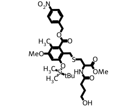 COC(=O)C(CSCc1c(O[Si](C)(C)C(C)(C)C)cc(OC)c(C)c1C(=O)OCc1ccc([N+](=O)[O-])cc1)NC(=O)CCCO